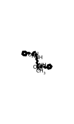 COC(=O)C(CCCNc1nccc(OCc2ccccc2)n1)NC(=O)OCc1ccccc1